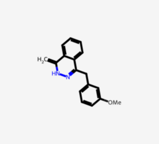 C=C1NN=C(Cc2cccc(OC)c2)c2ccccc21